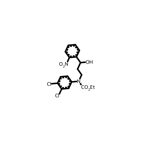 CCOC(=O)N(CCC(O)c1ccccc1[N+](=O)[O-])c1ccc(Cl)c(Cl)c1